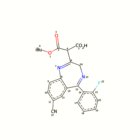 CCC(C)OC(=O)C(C(=O)O)C1=Nc2ccc(C#N)cc2C(c2ccccc2F)=NC1